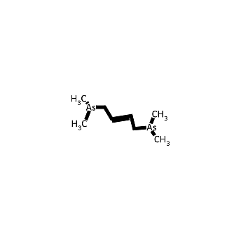 C[As](C)CC=CC[As](C)C